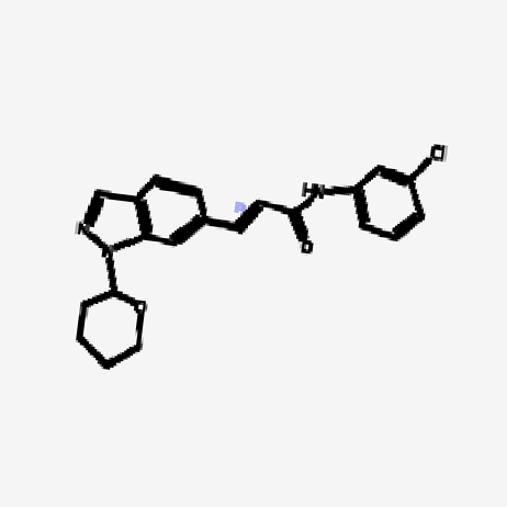 O=C(/C=C/c1ccc2cnn(C3CCCCO3)c2c1)Nc1cccc(Cl)c1